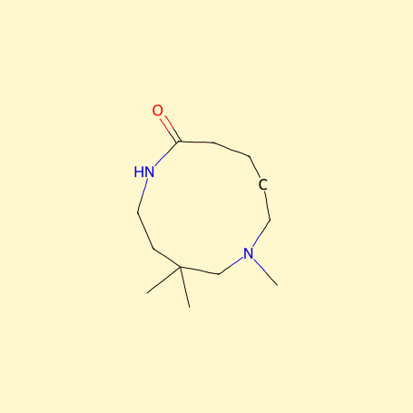 CN1CCCCC(=O)NCCC(C)(C)C1